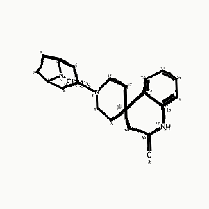 CCOC(=O)N1C2CCC1CC(N1CCC3(CC1)CC(=O)Nc1ccccc13)C2